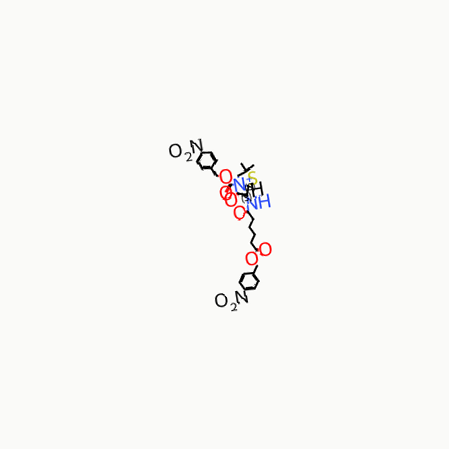 CC1(C)C[N+]2(C(=O)OCc3ccc([N+](=O)[O-])cc3)C(=O)[C@H](NC(=O)CCCCC(=O)OCc3ccc([N+](=O)[O-])cc3)[C@@H]2S1